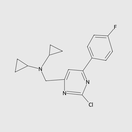 Fc1ccc(-c2cc(CN(C3CC3)C3CC3)nc(Cl)n2)cc1